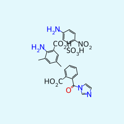 Cc1cc(C)c(N)c(C(=O)O)c1.Nc1ccc([N+](=O)[O-])c(S(=O)(=O)O)c1.O=C(O)c1ccccc1C(=O)n1ccnc1